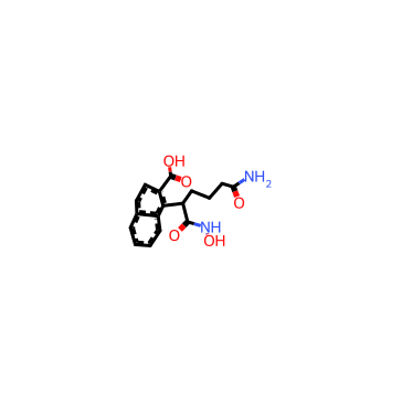 NC(=O)CCCC(C(=O)NO)c1c(C(=O)O)ccc2ccccc12